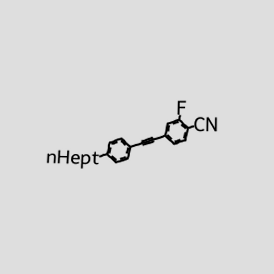 CCCCCCCc1ccc(C#Cc2ccc(C#N)c(F)c2)cc1